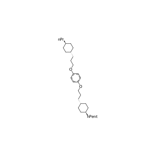 CCCCC[C@H]1CC[C@H](CCCOc2ccc(OCCC[C@H]3CC[C@H](CCC)CC3)cc2)CC1